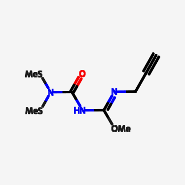 C#CCN=C(NC(=O)N(SC)SC)OC